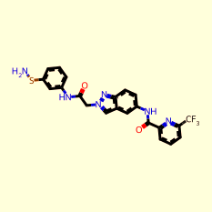 NSc1cccc(NC(=O)Cn2cc3cc(NC(=O)c4cccc(C(F)(F)F)n4)ccc3n2)c1